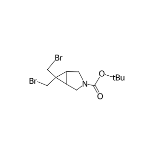 CC(C)(C)OC(=O)N1CC2C(C1)C2(CBr)CBr